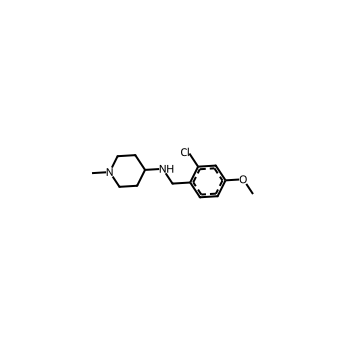 COc1ccc(CNC2CCN(C)CC2)c(Cl)c1